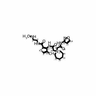 CNCCNC(=O)c1scc(C)c1NC(=O)C[N+]1(CC(=O)Nc2ccon2)CCCCCC1